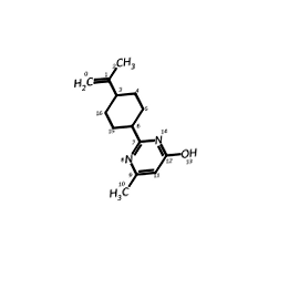 C=C(C)C1CCC(c2nc(C)cc(O)n2)CC1